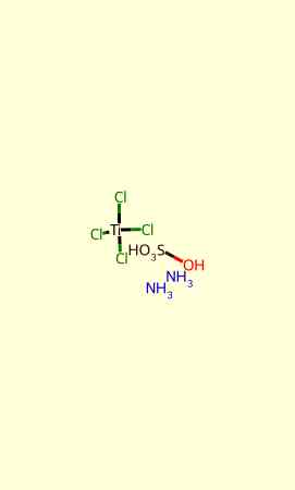 N.N.O=S(=O)(O)O.[Cl][Ti]([Cl])([Cl])[Cl]